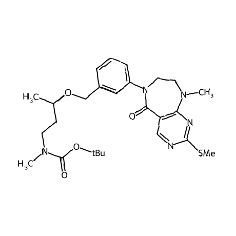 CSc1ncc2c(n1)N(C)CCN(c1cccc(COC(C)CCN(C)C(=O)OC(C)(C)C)c1)C2=O